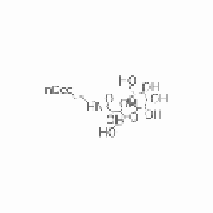 CCCCCCCCCCCCCCNC(=O)C(O)C(O)C(CCO)OC1OC(CO)C(O)C(O)C1O